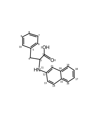 O=C(O)C(Cc1ccccc1)Nc1ccc2ccccc2c1